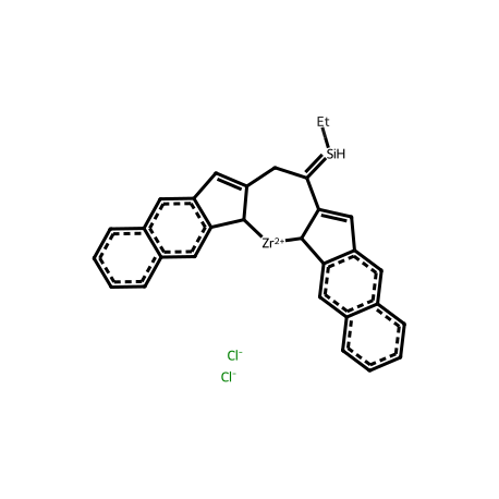 CC[SiH]=C1CC2=Cc3cc4ccccc4cc3[CH]2[Zr+2][CH]2C1=Cc1cc3ccccc3cc12.[Cl-].[Cl-]